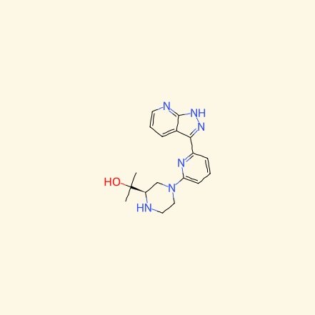 CC(C)(O)[C@H]1CN(c2cccc(-c3n[nH]c4ncccc34)n2)CCN1